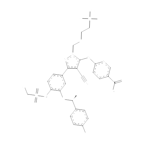 CCS(=O)(=O)Nc1ccc(-c2nn(COCC[Si](C)(C)C)c(Nc3ccc(C(=O)O)cn3)c2C#N)cc1O[C@@H](C)c1ccc(F)cc1